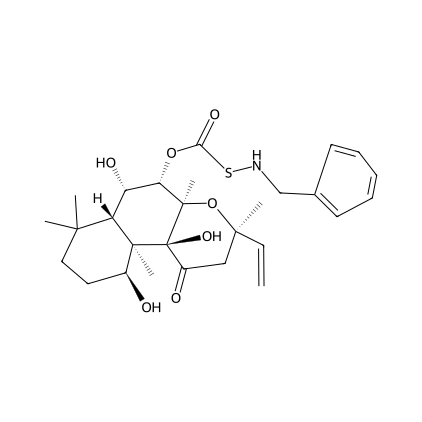 C=C[C@@]1(C)CC(=O)[C@]2(O)[C@@]3(C)[C@@H](O)CCC(C)(C)[C@@H]3[C@H](O)[C@H](OC(=O)SNCc3ccccc3)[C@@]2(C)O1